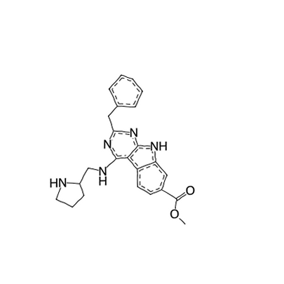 COC(=O)c1ccc2c(c1)[nH]c1nc(Cc3ccccc3)nc(NCC3CCCN3)c12